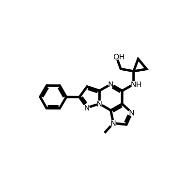 Cn1cnc2c(NC3(CO)CC3)nc3cc(-c4ccccc4)nn3c21